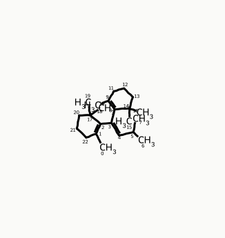 CC1=C(C(=CC(C)C)C2=C(C)CCCC2(C)C)C(C)(C)CCC1